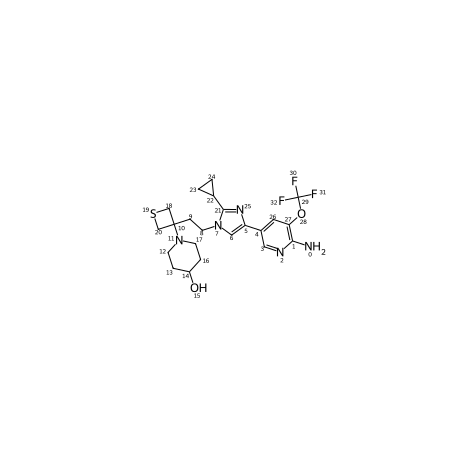 Nc1ncc(-c2cn(CCC3(N4CCC(O)CC4)CSC3)c(C3CC3)n2)cc1OC(F)(F)F